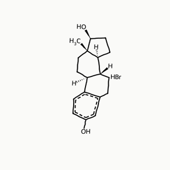 Br.C[C@]12CC[C@@H]3c4ccc(O)cc4CC[C@H]3[C@@H]1CC[C@@H]2O